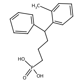 Cc1ccccc1C(CCCP(=O)(O)O)c1ccccc1